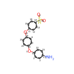 Nc1ccc(Oc2ccc(Oc3ccc([SH](=O)=O)cc3)cc2)cc1